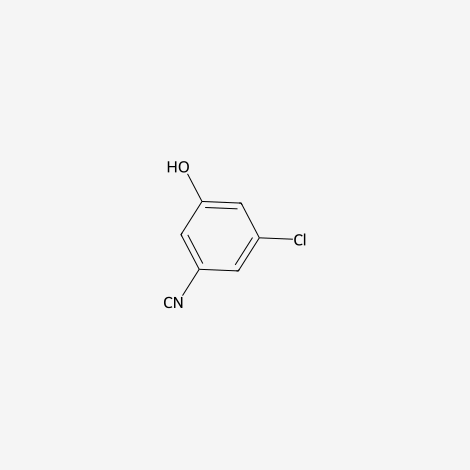 [C-]#[N+]c1cc(O)cc(Cl)c1